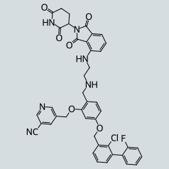 N#Cc1cncc(COc2cc(OCc3cccc(-c4ccccc4F)c3Cl)ccc2CNCCNc2cccc3c2C(=O)N(C2CCC(=O)NC2=O)C3=O)c1